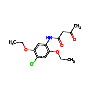 CCOc1cc(NC(=O)CC(C)=O)c(OCC)cc1Cl